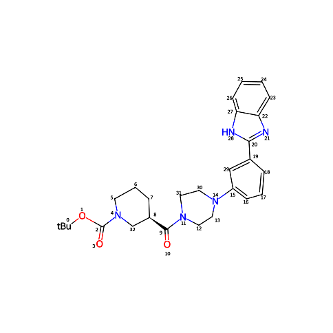 CC(C)(C)OC(=O)N1CCC[C@@H](C(=O)N2CCN(c3cccc(-c4nc5ccccc5[nH]4)c3)CC2)C1